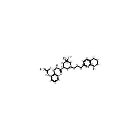 O=C(O)C[C@H](NC(=O)[C@@H]1CN(CCCc2ccc3c(n2)NCCC3)CC(F)(F)C1)c1ccccc1